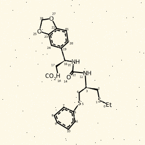 CCSC[C@@H](CSc1ccccc1)NC(=O)N[C@@H](CC(=O)O)c1ccc2c(c1)OCO2